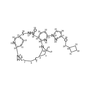 CC1(C)CC2CCCCNc3ccc(cn3)SNC(=O)c3ccc(-n4ccc(OCC5CCC5)n4)nc3N1C2